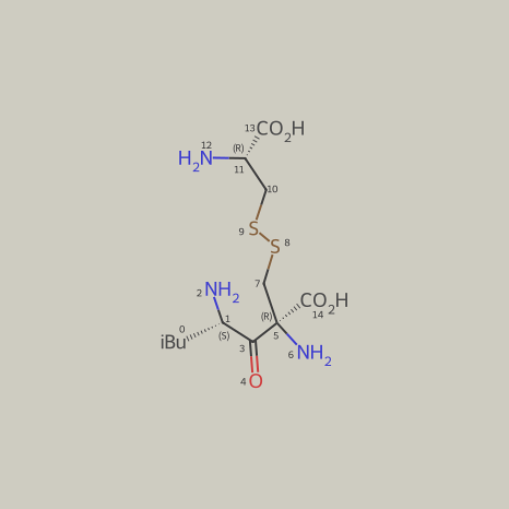 CCC(C)[C@H](N)C(=O)[C@](N)(CSSC[C@H](N)C(=O)O)C(=O)O